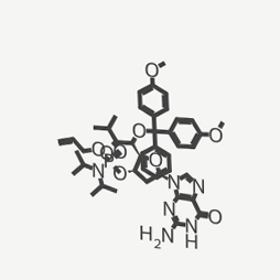 C=CCOP(=O)(O[C@H]1C[C@H](n2cnc3c(=O)[nH]c(N)nc32)O[C@@H]1C(OC(c1ccccc1)(c1ccc(OC)cc1)c1ccc(OC)cc1)C(=O)C(C)C)N(C(C)C)C(C)C